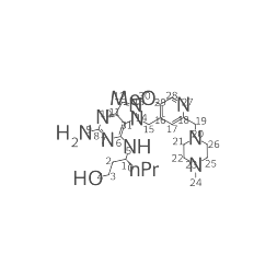 CCC[C@@H](CCO)Nc1nc(N)nc2cnn(Cc3cc(CN4CCN(C)CC4)ncc3OC)c12